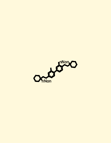 CCCCCCCCCC1(CCc2ccc(-c3ccc(CCC4(CCCCCCCCC)CCCCC4)c(C)c3)c(C)c2)CCCCC1